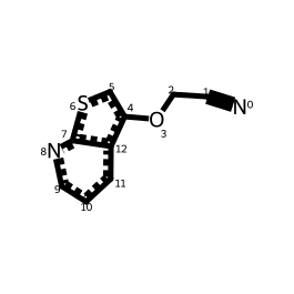 N#CCOc1csc2ncccc12